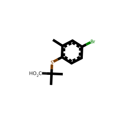 Cc1cc(Br)ccc1SC(C)(C)C(=O)O